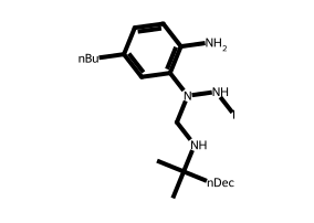 CCCCCCCCCCC(C)(C)NCN(NI)c1cc(CCCC)ccc1N